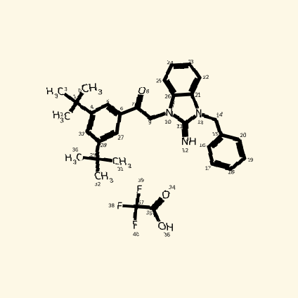 CC(C)(C)c1cc(C(=O)Cn2c(=N)n(Cc3ccccc3)c3ccccc32)cc(C(C)(C)C)c1.O=C(O)C(F)(F)F